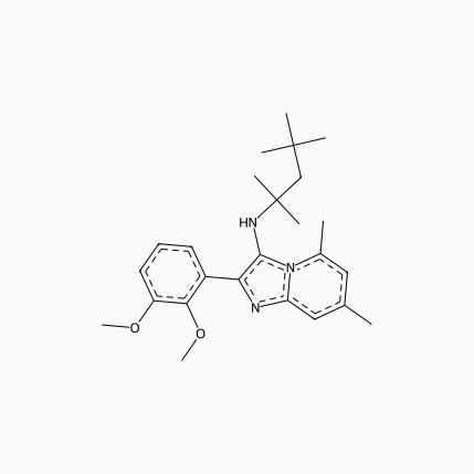 COc1cccc(-c2nc3cc(C)cc(C)n3c2NC(C)(C)CC(C)(C)C)c1OC